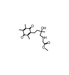 COC(=O)CNCC(C)(O)CCC1=C(C)C(=O)C(C)=C(C)C1=O